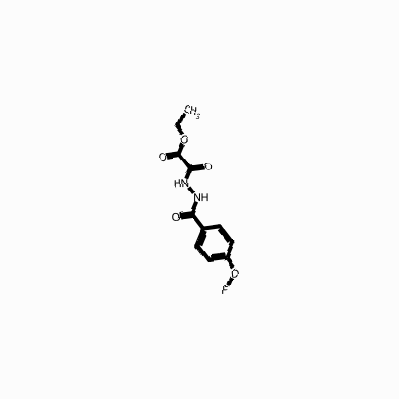 CCOC(=O)C(=O)NNC(=O)c1ccc(OF)cc1